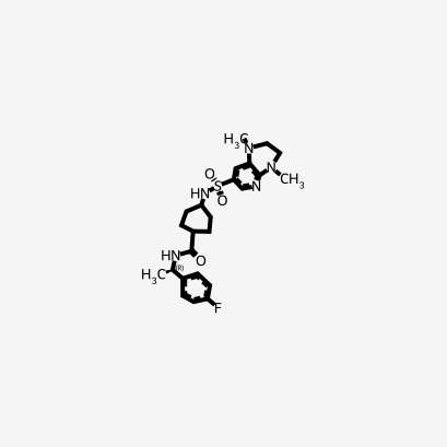 C[C@@H](NC(=O)C1CCC(NS(=O)(=O)c2cnc3c(c2)N(C)CCN3C)CC1)c1ccc(F)cc1